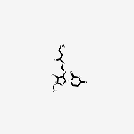 CCCC(=O)OCOC1C(O)[C@@H](CO)O[C@H]1n1ccc(=O)[nH]c1=O